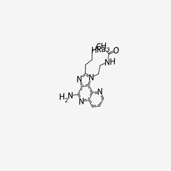 CCCCc1nc2c(N)nc3cccnc3c2n1CCN[C](=O)[RaH]